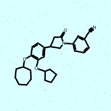 N#Cc1cccc(N2CC(c3ccc(OC4CCCCCC4)c(OC4CCCC4)c3)CC2=O)c1